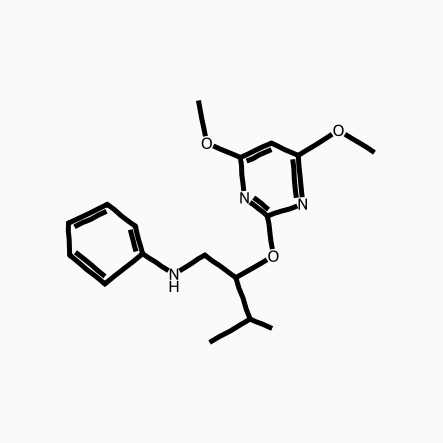 COc1cc(OC)nc(OC(CNc2ccccc2)C(C)C)n1